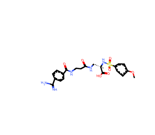 COc1ccc(S(=O)(=O)N[C@@H](CNC(=O)CCNC(=O)c2ccc(C(=N)N)cc2)C(=O)O)cc1